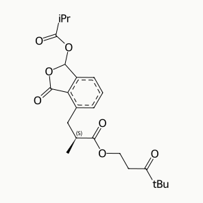 CC(C)C(=O)OC1OC(=O)c2c(C[C@H](C)C(=O)OCCC(=O)C(C)(C)C)cccc21